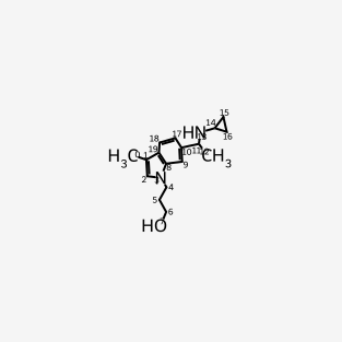 Cc1cn(CCCO)c2cc(C(C)NC3CC3)ccc12